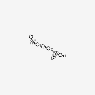 O=C(Nc1ccc(N2CCN(c3ccc(OC[C@@H]4CO[C@@](Cn5cncn5)(c5ccc(Cl)cc5)O4)cc3)CC2)cc1)Oc1ccccc1